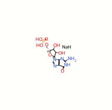 Nc1nc2c(ncn2[C@@H]2O[C@H](COP(=O)(O)O)C(O)C2O)c(=O)[nH]1.[NaH]